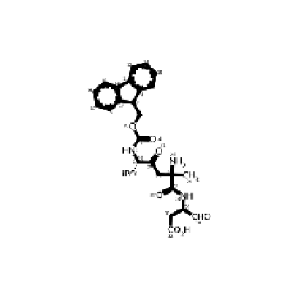 CC(C)[C@H](NC(=O)OCC1c2ccccc2-c2ccccc21)C(=O)CC(C)(N)C(=O)NC(C=O)CC(=O)O